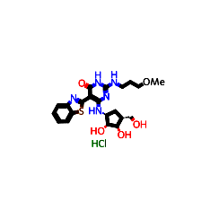 COCCCNc1nc(N[C@@H]2C[C@H](CO)[C@@H](O)[C@H]2O)c(-c2nc3ccccc3s2)c(=O)[nH]1.Cl